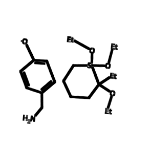 CCOC1(CC)CCCC[Si]1(OCC)OCC.NCc1ccc([O])cc1